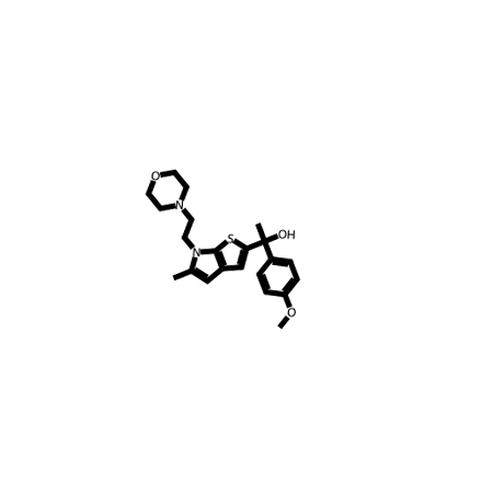 COc1ccc(C(C)(O)c2cc3cc(C)n(CCN4CCOCC4)c3s2)cc1